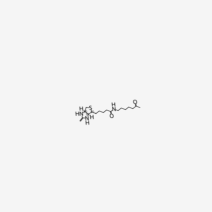 C=C1N[C@H]2[C@H](CS[C@H]2CCCCC(=O)NCCCCCC(C)=O)N1